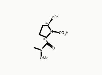 CCC[C@@H]1CC[C@@H](C(=O)N(C)OC)N1C(=O)O